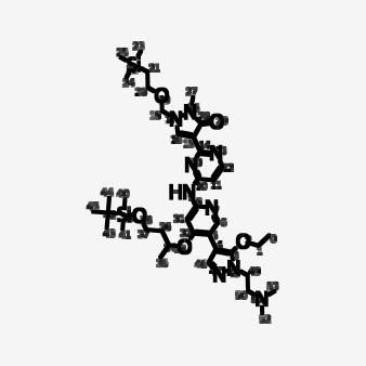 CCOc1c(-c2cnc(Nc3ccnc(-c4cn(COCC[Si](C)(C)C)n(C)c4=O)n3)cc2OC(C)CCO[Si](C)(C)C(C)(C)C)cnn1CCN(C)C